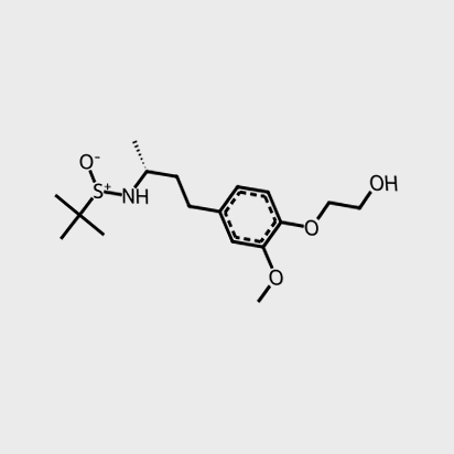 COc1cc(CC[C@@H](C)N[S+]([O-])C(C)(C)C)ccc1OCCO